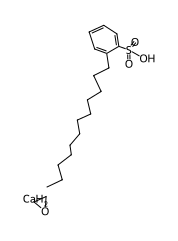 C1CO1.CCCCCCCCCCCCc1ccccc1S(=O)(=O)O.[CaH2]